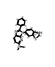 CN(C)c1ccc2nc(-c3ccccc3)n(-c3ccc4c(c3)SCN4)c2n1